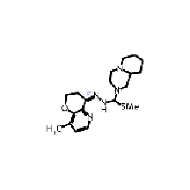 CSC(N/N=C1/CCOc2c(C)ccnc21)N1CCN2CCCCC2C1